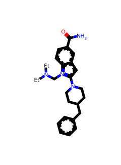 CCN(CC)Cn1c(N2CCC(Cc3ccccc3)CC2)cc2cc(C(N)=O)ccc21